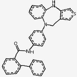 O=C(Nc1ccc(N2Cc3cscc3Nc3ccccc32)cc1)c1ccccc1-c1ccccc1